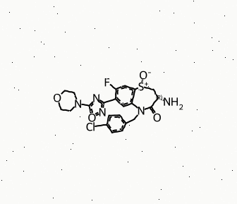 N[C@H]1C[S+]([O-])c2cc(F)c(-c3noc(N4CCOCC4)n3)cc2N(Cc2ccc(Cl)cc2)C1=O